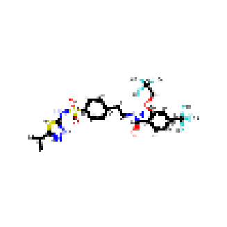 CC(C)c1nnc(NS(=O)(=O)c2ccc(CCNC(=O)c3ccc(C(F)(F)F)cc3OCC(F)(F)F)cc2)s1